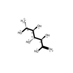 C=C(O)[C@H](O)[C@H](O)[C@H](O)[C@@H](C)O